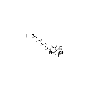 CCCCCCOc1ccc(C(F)(F)F)cn1